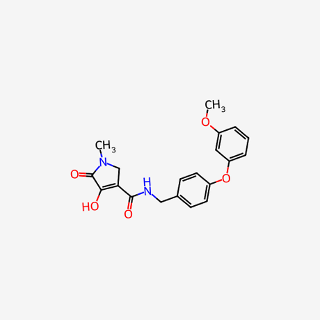 COc1cccc(Oc2ccc(CNC(=O)C3=C(O)C(=O)N(C)C3)cc2)c1